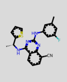 Cc1cc(F)cc(Nc2nc(N[C@H](C)c3cccs3)c3cccc(C#N)c3n2)c1